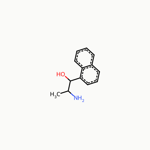 CC(N)C(O)c1cccc2ccccc12